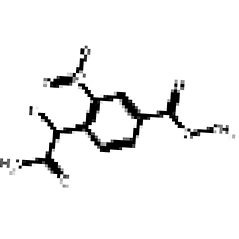 COC(=O)c1ccc(C(Cl)C(N)=O)c([N+](=O)[O-])c1